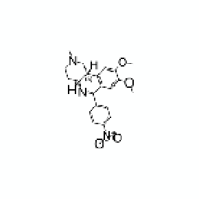 COc1cc2c(cc1OC)[C@H]1CN(C)CC[C@H]1N=C2c1ccc([N+](=O)[O-])cc1